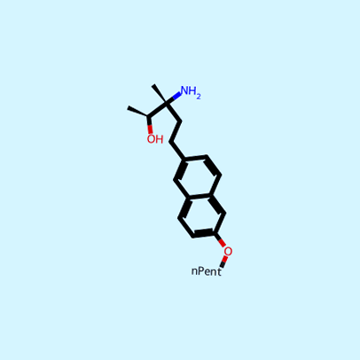 CCCCCOc1ccc2cc(CC[C@@](C)(N)[C@H](C)O)ccc2c1